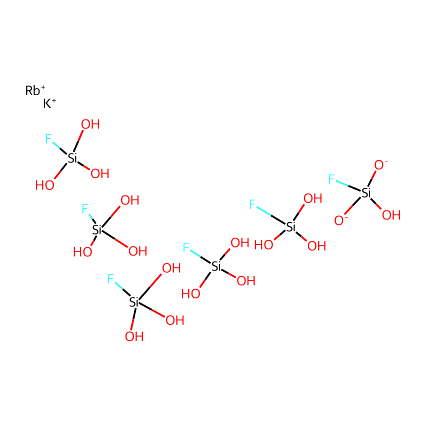 O[Si](O)(O)F.O[Si](O)(O)F.O[Si](O)(O)F.O[Si](O)(O)F.O[Si](O)(O)F.[K+].[O-][Si]([O-])(O)F.[Rb+]